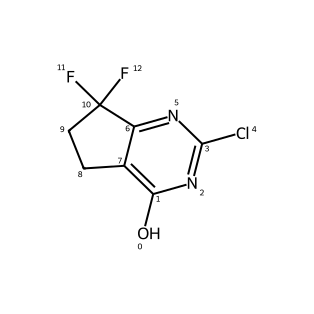 Oc1nc(Cl)nc2c1CCC2(F)F